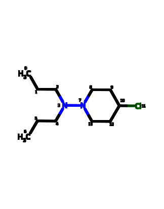 CCCN(CCC)N1CCC(Cl)CC1